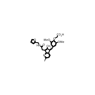 COc1cc(C=C2C(C)=C(CC(=O)NCc3ccco3)c3nc(F)ccc32)cc(OC)c1OCC(=O)O